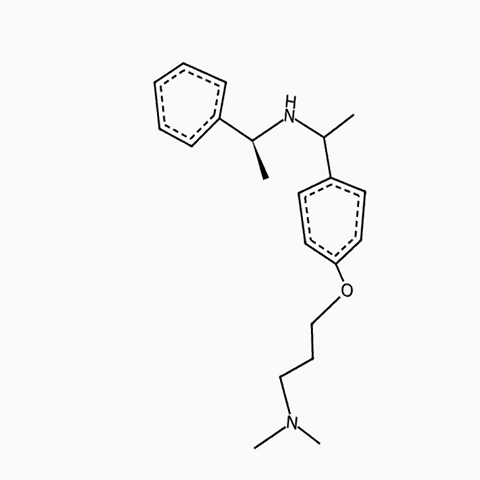 CC(N[C@@H](C)c1ccccc1)c1ccc(OCCCN(C)C)cc1